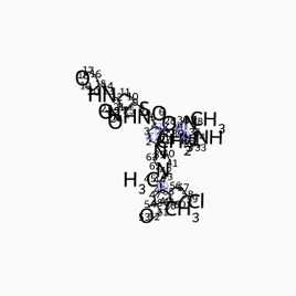 C=C(/C=C\C(C(=O)NSc1ccc(NCC2CCOCC2)c([N+](=O)[O-])c1)=C(/C)OC(/C=C1/C=CNC1)=C/NC)N1CCN(C/C(C)=C(/CC2(CC)CCOC2)c2ccc(Cl)cc2)CC1